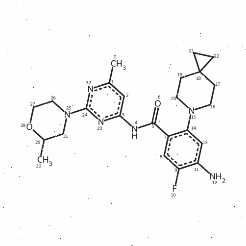 Cc1cc(NC(=O)c2cc(F)c(N)cc2N2CCC3(CC2)CC3)nc(N2CCOC(C)C2)n1